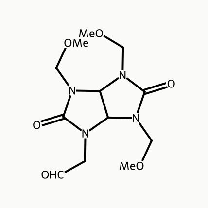 COCN1C(=O)N(COC)C2C1N(CC=O)C(=O)N2COC